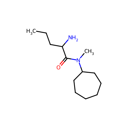 CCCC(N)C(=O)N(C)C1CCCCCC1